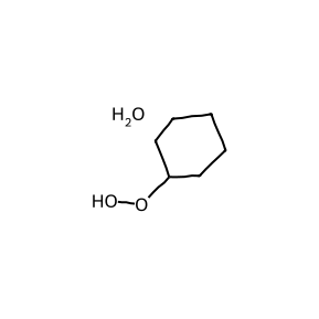 O.OOC1CCCCC1